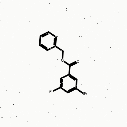 CC(C)c1[c]c(C(C)C)cc(C(=O)OCc2ccccc2)c1